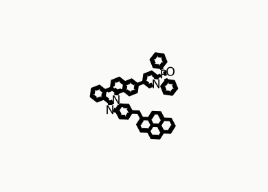 O=P(c1ccccc1)(c1ccccc1)c1ccc(-c2ccc3c(ccc4c5ccccc5c5nc6ccc(CC7=CC=C8C=CC9=C%10C(=CC=C7C8%10)CC=C9)cc6n5c34)c2)cn1